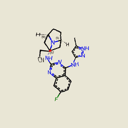 Cc1cc(Nc2nc(N[C@@H]3C[C@H]4CC[C@@H](C3)N4CCC#N)nc3cc(F)ccc23)n[nH]1